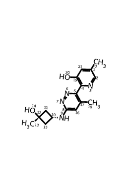 Cc1cnc(-c2nnc(N[C@H]3C[C@@](C)(O)C3)cc2C)c(O)c1